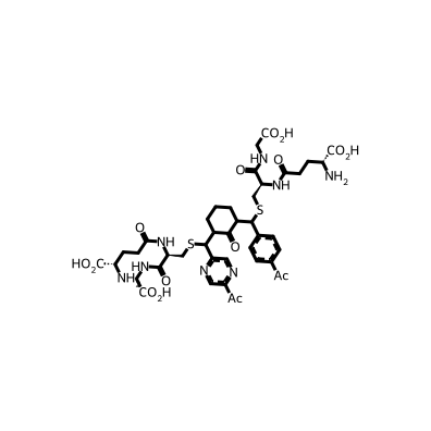 CC(=O)c1ccc(C(SC[C@H](NC(=O)CC[C@@H](N)C(=O)O)C(=O)NCC(=O)O)C2CCCC(C(SC[C@H](NC(=O)CC[C@H](N)C(=O)O)C(=O)NCC(=O)O)c3cnc(C(C)=O)cn3)C2=O)cc1